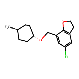 FC(F)(F)[C@H]1CC[C@H](OCc2cc(Cl)cc3c2OCC3)CC1